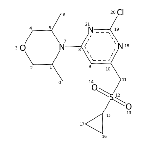 CC1COCC(C)N1c1cc(CS(=O)(=O)C2CC2)nc(Cl)n1